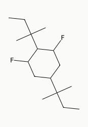 CCC(C)(C)C1CC(F)C(C(C)(C)CC)C(F)C1